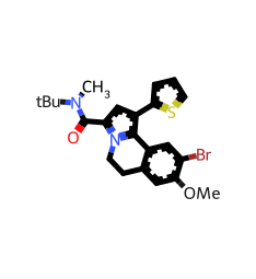 COc1cc2c(cc1Br)-c1c(-c3cccs3)cc(C(=O)N(C)C(C)(C)C)n1CC2